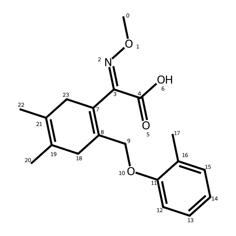 CON=C(C(=O)O)C1=C(COc2ccccc2C)CC(C)=C(C)C1